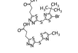 CC(C)(C)c1nc(Sc2nnc(CCC(=O)O)s2)sc1Br.Cc1csc(Sc2nnc(CCC(=O)O)s2)n1